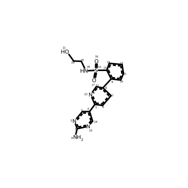 Nc1ncc(-c2ccc(-c3ccccc3S(=O)(=O)NCCO)cn2)cn1